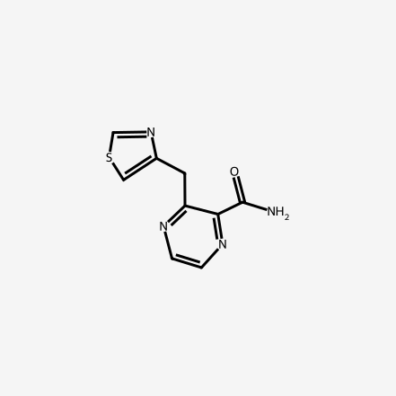 NC(=O)c1nccnc1Cc1cscn1